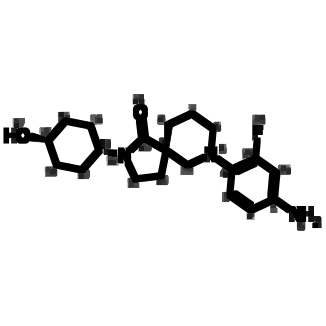 Nc1ccc(N2CCC[C@]3(CCN([C@H]4CC[C@H](O)CC4)C3=O)C2)c(F)c1